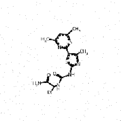 CCC(NC(=O)Nc1nc(C)c(-c2nc(C)cc(C)n2)s1)C(N)=O